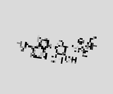 CCNS(=O)(=O)OC[C@H]1O[C@@H](n2cnc3c(N)ncnc32)[C@H](O)[C@@H]1O